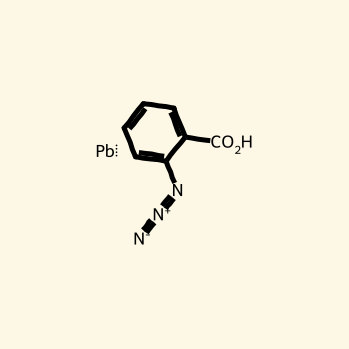 [N-]=[N+]=Nc1ccccc1C(=O)O.[Pb]